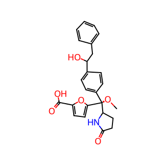 CO[C@](c1ccc(C(O)Cc2ccccc2)cc1)(c1ccc(C(=O)O)o1)C1CCC(=O)N1